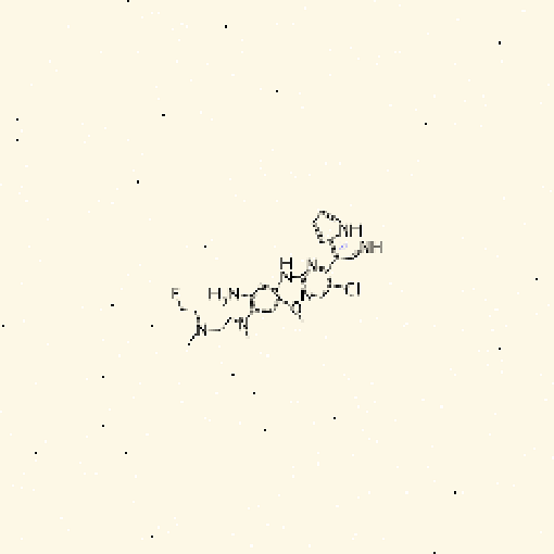 COc1cc(N(C)CCN(C)CCF)c(N)cc1Nc1ncc(Cl)c(/C(C=N)=C2\C=CC=CN2)n1